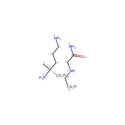 C[C@](N)(CCCN)C(=O)O.NC(=O)CNCC(=O)O